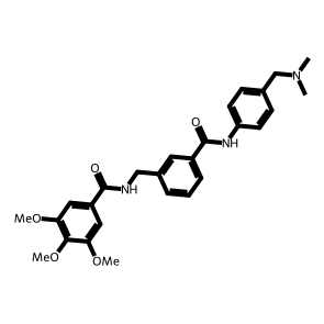 COc1cc(C(=O)NCc2cccc(C(=O)Nc3ccc(CN(C)C)cc3)c2)cc(OC)c1OC